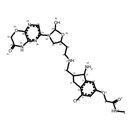 CNC(=O)COc1cc(Cl)c2c(c1)C(N)C(CNCCC1CN(c3cnc4c(n3)NC(=O)CO4)C(O)O1)C2